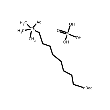 CCCCCCCCCCCCCCCCC[CH2][Fe]([CH3])([CH3])([CH3])[C](C)=O.O=P(O)(O)O